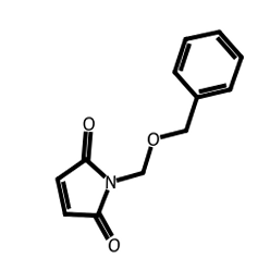 O=C1C=CC(=O)N1COCc1ccccc1